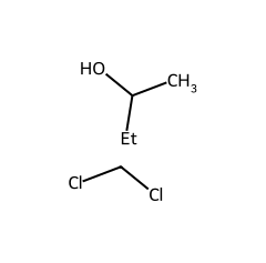 CCC(C)O.ClCCl